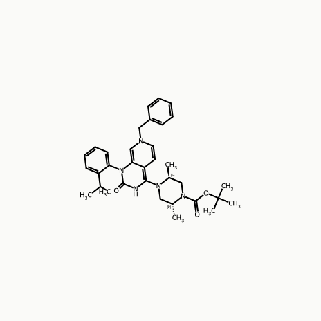 CC(C)c1ccccc1N1C(=O)NC(N2C[C@@H](C)N(C(=O)OC(C)(C)C)C[C@@H]2C)=C2C=CN(Cc3ccccc3)C=C21